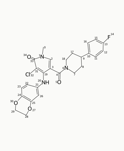 Cn1cc(C(=O)N2CCC(c3ccc(F)cc3)CC2)c(Nc2ccc3c(c2)OCCO3)c(Cl)c1=O